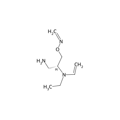 C=CN(CC)[C@H](CN)CON=C